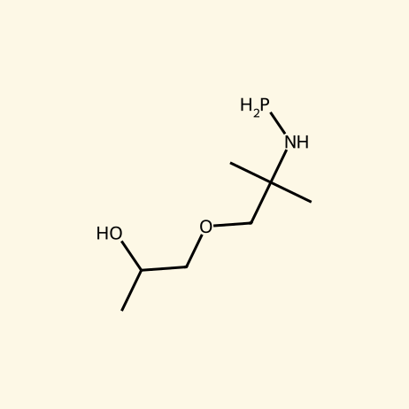 CC(O)COCC(C)(C)NP